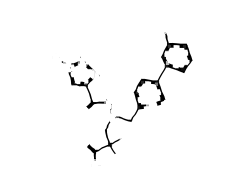 CC(O)(CN(Cc1ccc(-c2cccc(Cl)c2)cc1)NC(=O)c1cn(O)nn1)C(=O)O